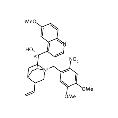 C=CC1C[N+]2(Cc3cc(OC)c(OC)cc3[N+](=O)[O-])CCC1CC2[C@H](O)c1ccnc2ccc(OC)cc12